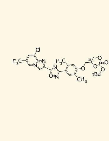 Cc1cc(-c2noc(-c3cn4cc(C(F)(F)F)cc(Cl)c4n3)n2)c(C)cc1OC[C@H]1COP(=O)(OC(C)(C)C)O1